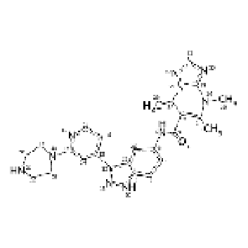 CC1=C(C(=O)Nc2ccc3[nH]nc(-c4ccnc(N5CCNCC5)c4)c3c2)C(C)n2nnnc2N1C